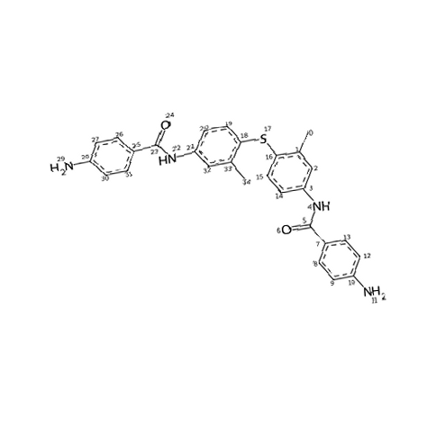 Cc1cc(NC(=O)c2ccc(N)cc2)ccc1Sc1ccc(NC(=O)c2ccc(N)cc2)cc1C